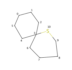 C1CCC2(CC1)CCCCS2